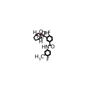 Cc1cc(NC(=O)c2ccc(F)c(C(F)(F)C(=O)N3[C@@H]4CC[C@H]3C[C@@H](O)C4)c2)ccc1F